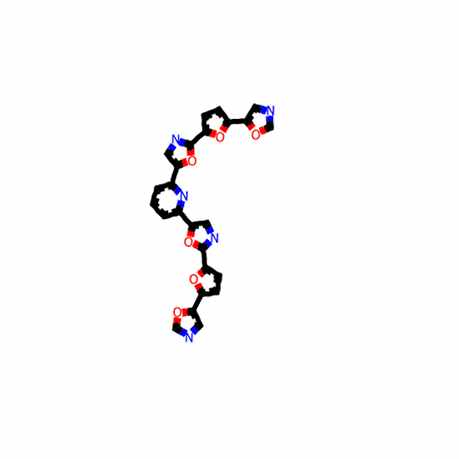 c1cc(-c2cnc(-c3ccc(-c4cnco4)o3)o2)nc(-c2cnc(-c3ccc(-c4cnco4)o3)o2)c1